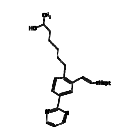 CCCCCCCC=Cc1cc(-c2ncccn2)ccc1CCCCCC(C)O